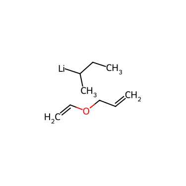 C=CCOC=C.[Li][CH](C)CC